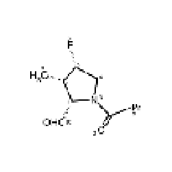 CC(C)C(=O)N1C[C@@H](F)[C@@H](C)[C@H]1C=O